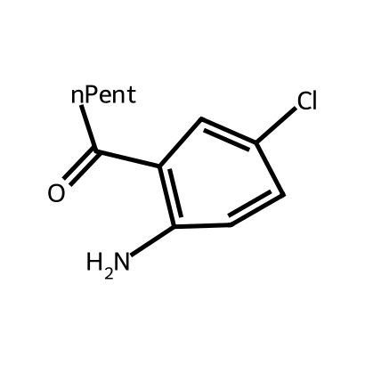 CCCCCC(=O)c1cc(Cl)ccc1N